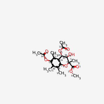 COC(=O)[C@]1(C)Oc2c(C)c(C)c(OC(C)=O)c(C)c2[C@@H](OC(C)=O)[C@H]1O